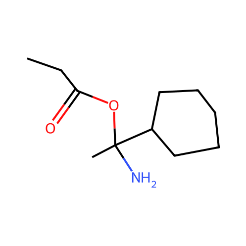 CCC(=O)OC(C)(N)C1CCCCC1